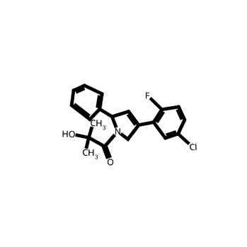 CC(C)(O)C(=O)N1CC(c2cc(Cl)ccc2F)=CC1c1ccccc1